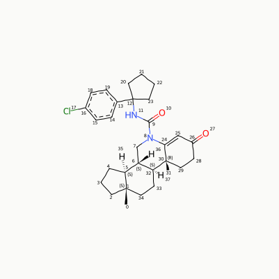 C[C@@]12CCC[C@H]1[C@@H]1CN(C(=O)NC3(c4ccc(Cl)cc4)CCCC3)C3=CC(=O)CC[C@]3(C)[C@H]1CC2